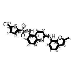 Cc1cc2cccc(Nc3ccc4c(NS(=O)(=O)c5ccc(Cl)s5)cccc4n3)c2o1